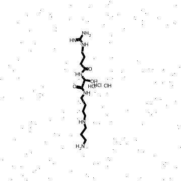 Cl.Cl.Cl.N=C(N)NCCCC(=O)NC(O)C(=O)NCCCCNCCCN